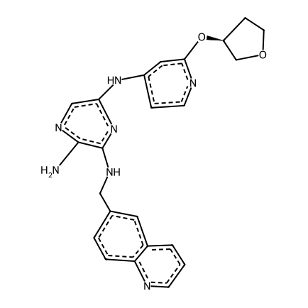 Nc1ncc(Nc2ccnc(O[C@H]3CCOC3)c2)nc1NCc1ccc2ncccc2c1